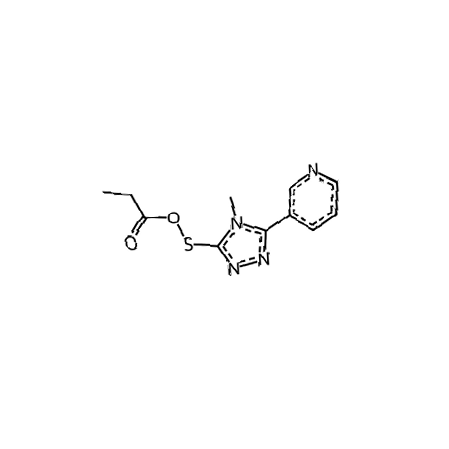 CCC(=O)OSc1nnc(-c2cccnc2)n1C